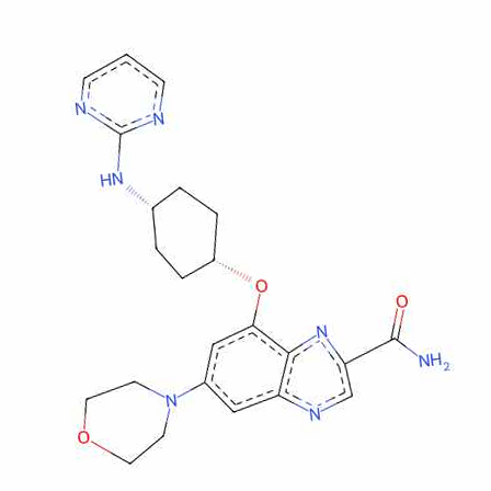 NC(=O)c1cnc2cc(N3CCOCC3)cc(O[C@H]3CC[C@@H](Nc4ncccn4)CC3)c2n1